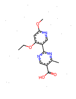 CCOc1cc(OC)ncc1-c1ncc(C(=O)O)c(C)n1